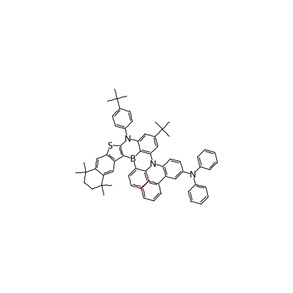 CC(C)(C)c1ccc(N2c3cc(C(C)(C)C)cc4c3B(c3ccccc3N4c3ccc(N(c4ccccc4)c4ccccc4)cc3-c3ccccc3)c3c2sc2cc4c(cc32)C(C)(C)CCC4(C)C)cc1